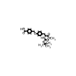 COC(=O)C(Cc1ccc(OCc2ccc(C(=O)O)cc2)cc1)NC(=O)OC(C)(C)C